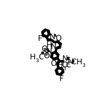 CCS(=O)(=O)Nc1cc2oc(-c3ccc(F)cc3)c(C(=O)/N=C\N(C)C)c2cc1-c1ccc2c(n1)-c1cc3c(F)cccc3n1CO2